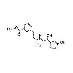 COC(=O)c1cccc(CC[C@@H](C)NCC(O)c2cccc(O)c2)c1